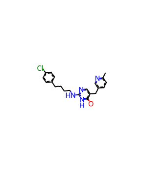 Cc1ccc(Cc2cnc(NCCCCc3ccc(Cl)cc3)[nH]c2=O)cn1